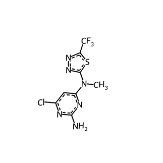 CN(c1cc(Cl)nc(N)n1)c1nnc(C(F)(F)F)s1